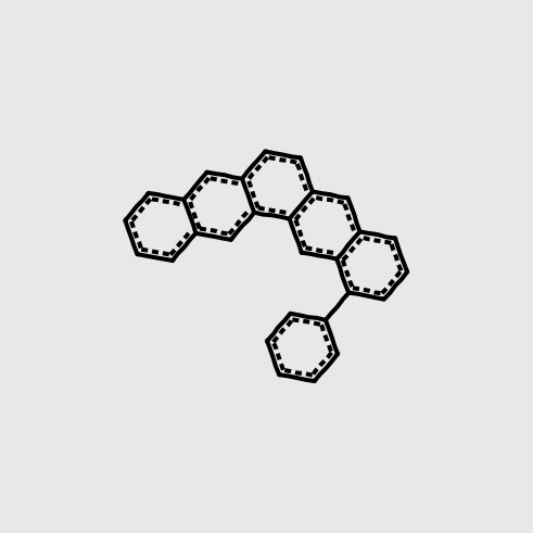 c1ccc(-c2cccc3cc4ccc5cc6ccccc6cc5c4cc23)cc1